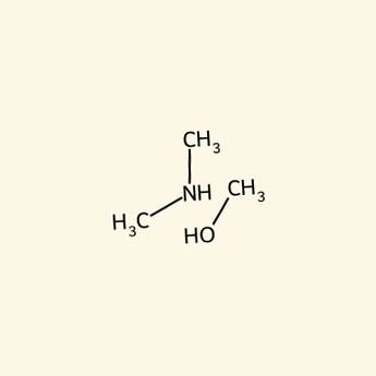 CNC.CO